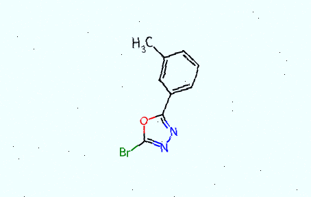 Cc1cccc(-c2nnc(Br)o2)c1